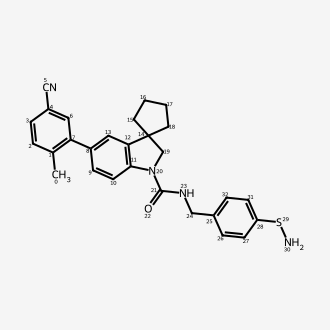 Cc1ccc(C#N)cc1-c1ccc2c(c1)C1(CCCC1)CN2C(=O)NCc1ccc(SN)cc1